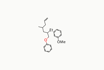 C=CCC(C)CC(CC)COc1ccccc1.COc1ccccc1